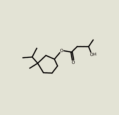 CC(O)CC(=O)OC1CCCC(C)(C(C)C)C1